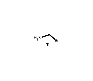 [SiH3]CBr.[Ti]